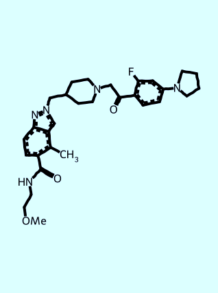 COCCNC(=O)c1ccc2nn(CC3CCN(CC(=O)c4ccc(N5CCCC5)cc4F)CC3)cc2c1C